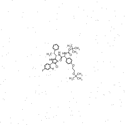 C[C@H](c1ccccc1)[C@H](NC(=O)C(NC(=O)OC(C)(C)C)c1ccc(OCCOC(C)(C)C)cc1)c1nc(Cl)c(-c2ccc(I)cc2F)[nH]1